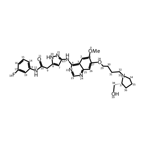 COc1cc2c(Nc3cc(CC(=O)Nc4cccc(F)c4)[nH]n3)ncnc2cc1OCCCCN1CCC[C@@H]1CO